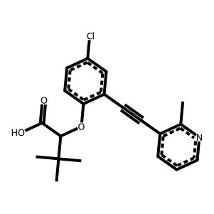 Cc1ncccc1C#Cc1cc(Cl)ccc1OC(C(=O)O)C(C)(C)C